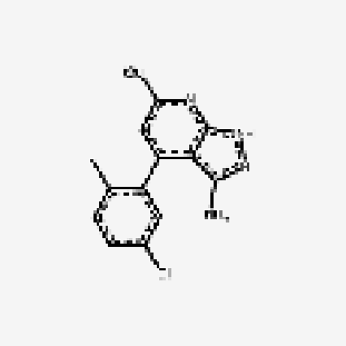 Cc1ccc(O)cc1-c1cc(C(C)(C)C)nc2[nH]nc(N)c12